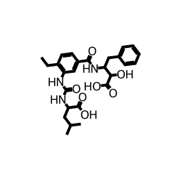 CCc1ccc(C(=O)NC(Cc2ccccc2)C(O)C(=O)O)cc1NC(=O)NC(CC(C)C)C(=O)O